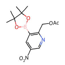 CC(=O)OCc1ncc([N+](=O)[O-])cc1B1OC(C)(C)C(C)(C)O1